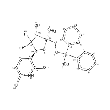 CC(C)(C)[Si](OC[C@@]1(C=O)O[C@@H](n2ccc(=O)[nH]c2=O)C(F)(F)[C@@H]1O)(c1ccccc1)c1ccccc1